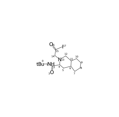 CC(C)(C)NC(=O)C1CC2CCCCC2CN1CC(=O)I